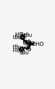 CC(C)(C)c1cc(CCC(=O)OCC(CO)(COC=O)COC(=O)CCc2cc(C(C)(C)C)c(O)c(C(C)(C)C)c2)cc(C(C)(C)C)c1O